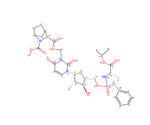 COC(=O)N1C2CCC(C2)C1C(=O)OCn1c(=O)ccn([C@@H]2O[C@H](COP(=O)(N[C@@H](C)C(=O)OC(C)C)Oc3ccccc3)[C@@H](O)[C@@H]2C)c1=O